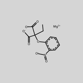 CCC(Oc1ccccc1[N+](=O)[O-])(C(=O)[O-])C(=O)[O-].[Mg+2]